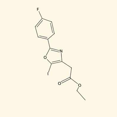 CCOC(=O)Cc1nc(-c2ccc(F)cc2)oc1I